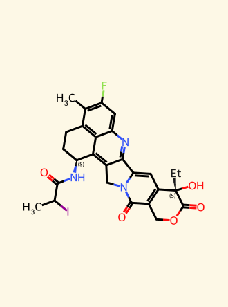 CC[C@@]1(O)C(=O)OCc2c1cc1n(c2=O)Cc2c-1nc1cc(F)c(C)c3c1c2[C@@H](NC(=O)C(C)I)CC3